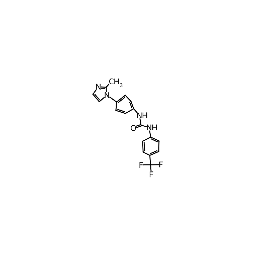 Cc1nccn1-c1ccc(NC(=O)Nc2ccc(C(F)(F)F)cc2)cc1